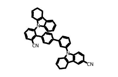 N#Cc1ccc2c(c1)c1c(n2-c2cccc(-c3ccc(-c4c(C#N)cccc4-n4c5c(c6ccccc64)CCC=C5)cc3)c2)C=CCC1